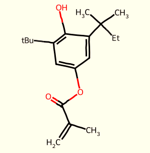 C=C(C)C(=O)Oc1cc(C(C)(C)C)c(O)c(C(C)(C)CC)c1